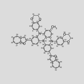 Cc1cc2c3c(c1)N(c1ccc4c(c1)OCCO4)c1cc(-c4cc5ccccc5o4)ccc1B3c1ccc(-c3cc4ccccc4o3)cc1N2c1ccc2c(c1)OCCO2